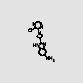 Nc1ccc2[nH]c(C3CN(c4nccnc4Cl)C3)nc2c1